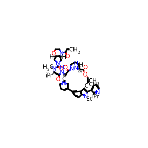 C=CC(=O)N1CCO[C@H]2CN(C(=O)N(C)[C@H](C(=O)N[C@H]3CN4CCC=C(C4)c4ccc5c(c4)c(c(-c4cccnc4C(C)C)n5CC)CC(C)(C)COC(=O)[C@@H]4CCCN(N4)C3=O)C(C)C)C[C@H]21